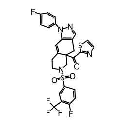 O=C(c1nccs1)C12Cc3cnn(-c4ccc(F)cc4)c3C=C1CCN(S(=O)(=O)c1ccc(F)c(C(F)(F)F)c1)C2